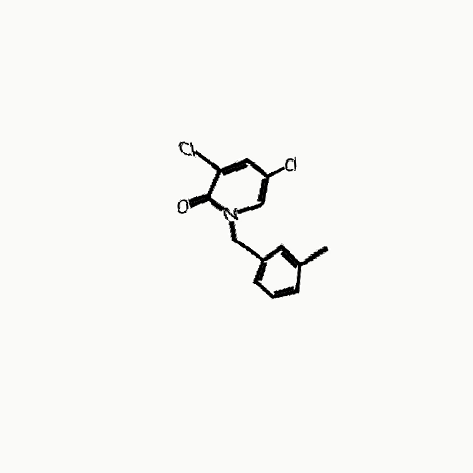 Cc1cccc(Cn2cc(Cl)cc(Cl)c2=O)c1